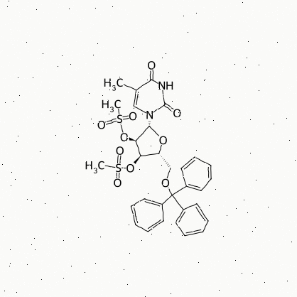 Cc1cn([C@@H]2O[C@H](COC(c3ccccc3)(c3ccccc3)c3ccccc3)[C@@H](OS(C)(=O)=O)[C@H]2OS(C)(=O)=O)c(=O)[nH]c1=O